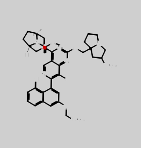 COCOc1cc(-c2ncc3c(N4C[C@H]5CC[C@@H](C4)N5C(=O)OC(C)(C)C)nc(OCC45CCCN4CC(OC)C5)nc3c2F)c2c(Cl)cccc2c1